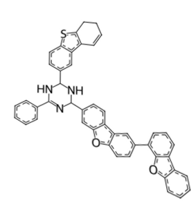 C1=Cc2c(sc3ccc(C4NC(c5ccccc5)=NC(c5ccc6c(c5)oc5ccc(-c7cccc8c7oc7ccccc78)cc56)N4)cc23)CC1